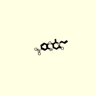 C=CCN1C(=O)CCC(Oc2ccc([N+](=O)[O-])cc2Br)C1C